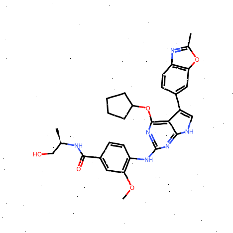 COc1cc(C(=O)N[C@H](C)CO)ccc1Nc1nc(OC2CCCC2)c2c(-c3ccc4nc(C)oc4c3)c[nH]c2n1